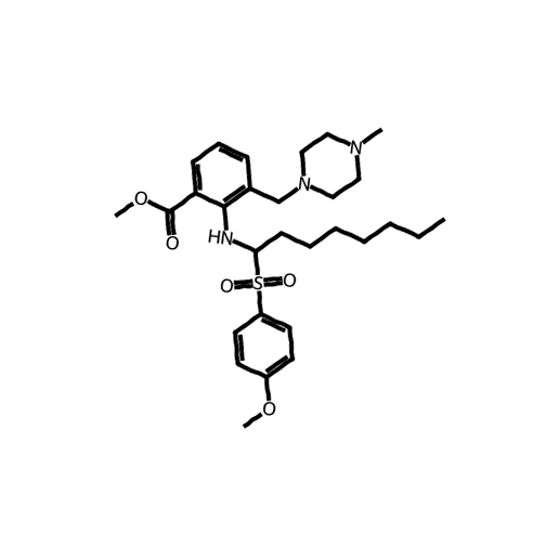 CCCCCCCC(Nc1c(CN2CCN(C)CC2)cccc1C(=O)OC)S(=O)(=O)c1ccc(OC)cc1